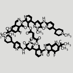 CN1CCC(c2ccc(Nc3cc(-c4ccnc(-n5ncc6cc(C(C)(C)C)cc(F)c6c5=O)c4COC(=O)/C=C/C(=O)OCc4c(-c5cc(Nc6ccc(C7CCN(C)CC7)cn6)c(=O)n(C)n5)ccnc4-n4ncc5cc(C(C)(C)C)cc(F)c5c4=O)nn(C)c3=O)nc2)CC1